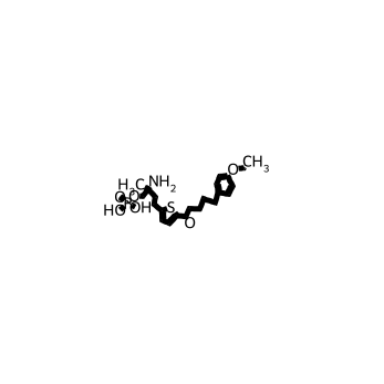 CCOc1ccc(CCCCC(=O)c2ccc(CCC(C)(N)COP(=O)(O)O)s2)cc1